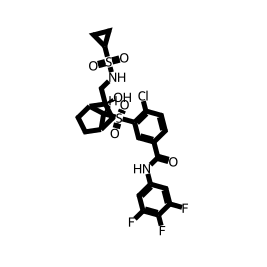 O=C(Nc1cc(F)c(F)c(F)c1)c1ccc(Cl)c(S(=O)(=O)[C@@H]2C3CCC2[C@](O)(CNS(=O)(=O)C2CC2)C3)c1